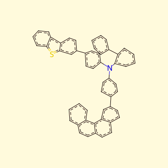 c1ccc(-c2ccccc2N(c2ccc(-c3ccc4c(c3)sc3ccccc34)cc2)c2ccc(-c3ccc4ccc5ccc6ccccc6c5c4c3)cc2)cc1